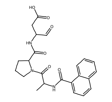 CC(NC(=O)c1cccc2ccccc12)C(=O)N1CCCC1C(=O)NC(C=O)CC(=O)O